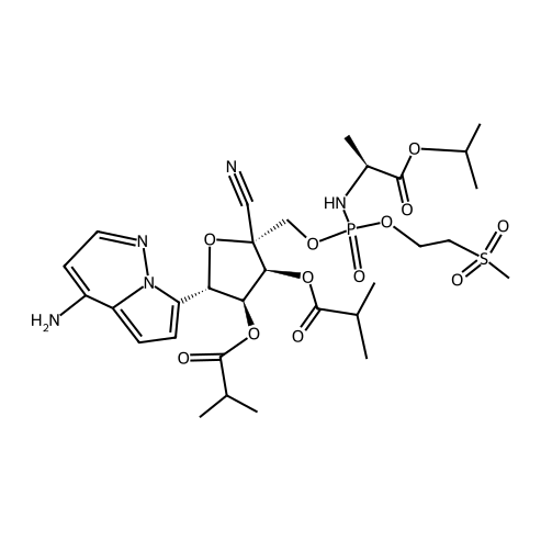 CC(C)OC(=O)[C@H](C)NP(=O)(OCCS(C)(=O)=O)OC[C@@]1(C#N)O[C@@H](c2ccc3c(N)ccnn23)[C@H](OC(=O)C(C)C)[C@@H]1OC(=O)C(C)C